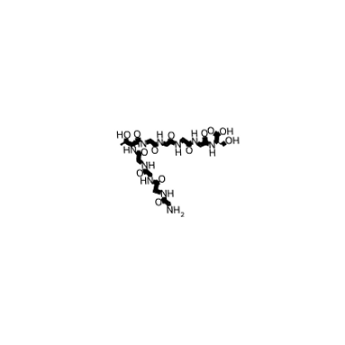 C[C@@H](O)[C@H](NC(=O)CNC(=O)CNC(=O)CNC(=O)CN)C(=O)NCC(=O)NCC(=O)NCC(=O)NCC(=O)N[C@@H](CO)C(=O)O